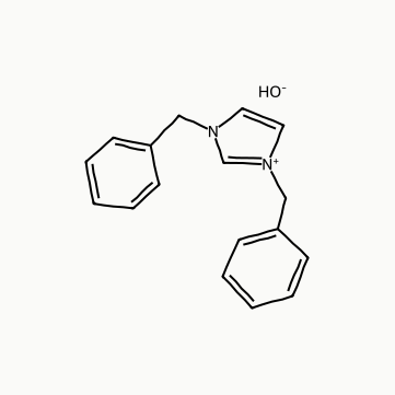 [OH-].c1ccc(Cn2cc[n+](Cc3ccccc3)c2)cc1